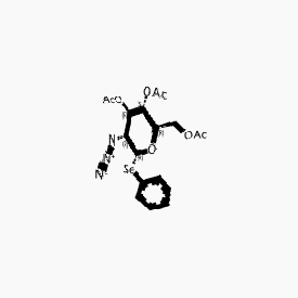 CC(=O)OC[C@H]1O[C@H]([Se]c2ccccc2)[C@H](N=[N+]=[N-])[C@@H](OC(C)=O)[C@@H]1OC(C)=O